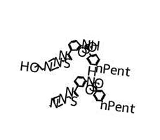 CCCCCc1ccc(S(=O)(=O)Nc2cccc(-c3csc(N4CCN(C)CC4)n3)c2)cc1.CCCCCc1ccc(S(=O)(=O)Nc2cccc(-c3csc(N4CCN(CCO)CC4)n3)c2)cc1